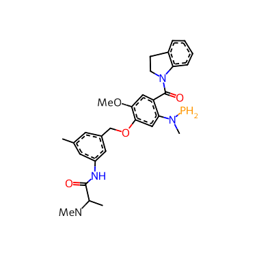 CNC(C)C(=O)Nc1cc(C)cc(COc2cc(N(C)P)c(C(=O)N3CCc4ccccc43)cc2OC)c1